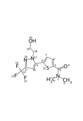 CN(C)C(=O)c1ccc(-c2cc(C(F)(F)F)nn2CCO)s1